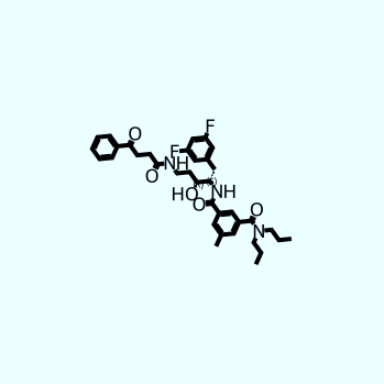 CCCN(CCC)C(=O)c1cc(C)cc(C(=O)N[C@@H](Cc2cc(F)cc(F)c2)[C@H](O)CCNC(=O)CCC(=O)c2ccccc2)c1